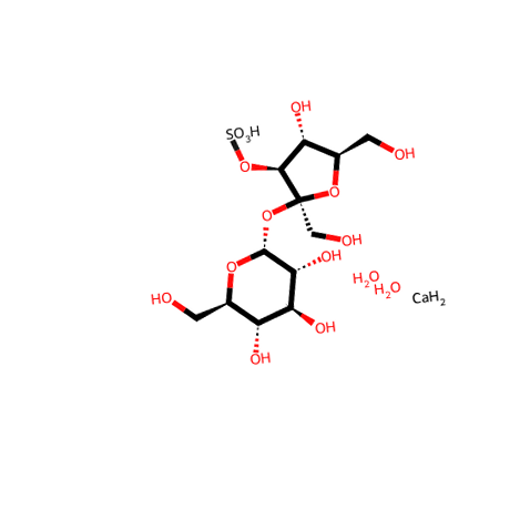 O.O.O=S(=O)(O)O[C@H]1[C@H](O)[C@@H](CO)O[C@@]1(CO)O[C@H]1O[C@H](CO)[C@@H](O)[C@H](O)[C@H]1O.[CaH2]